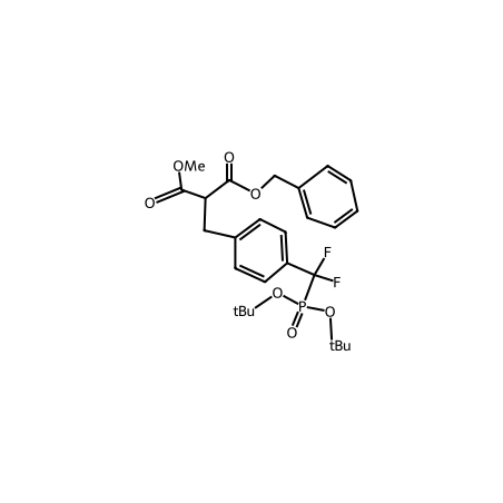 COC(=O)C(Cc1ccc(C(F)(F)P(=O)(OC(C)(C)C)OC(C)(C)C)cc1)C(=O)OCc1ccccc1